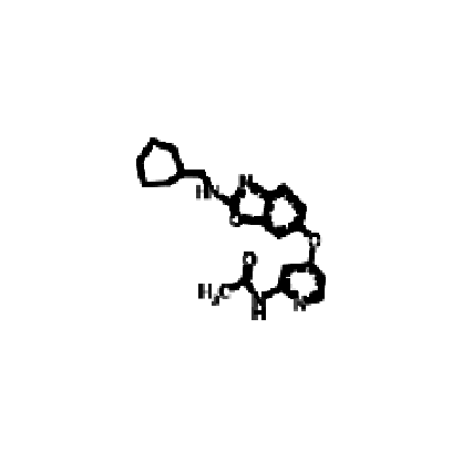 CC(=O)Nc1cc(Oc2ccc3nc(NCC4CCCCC4)oc3c2)ccn1